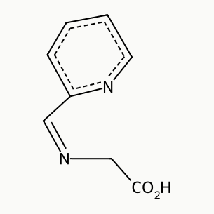 O=C(O)C/N=C\c1ccccn1